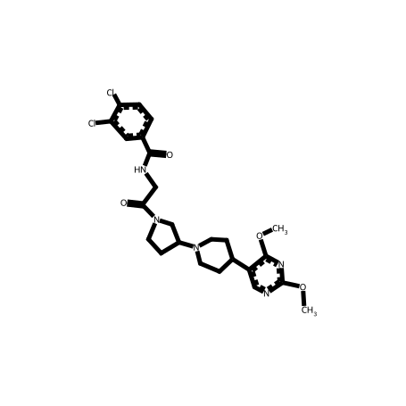 COc1ncc(C2CCN(C3CCN(C(=O)CNC(=O)c4ccc(Cl)c(Cl)c4)C3)CC2)c(OC)n1